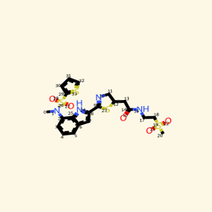 CN(c1cccc2cc(C3=NCC(CC(=O)NCCS(C)(=O)=O)S3)[nH]c12)S(=O)(=O)c1cccs1